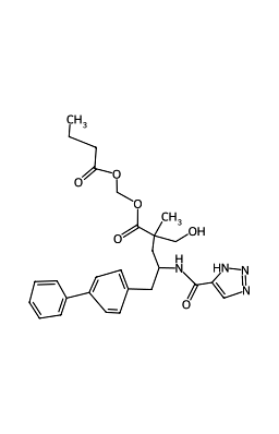 CCCC(=O)OCOC(=O)C(C)(CO)CC(Cc1ccc(-c2ccccc2)cc1)NC(=O)c1cnn[nH]1